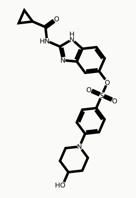 O=C(Nc1nc2cc(OS(=O)(=O)c3ccc(N4CCC(O)CC4)cc3)ccc2[nH]1)C1CC1